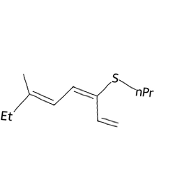 C=C/C(=C\C=C(/C)CC)SCCC